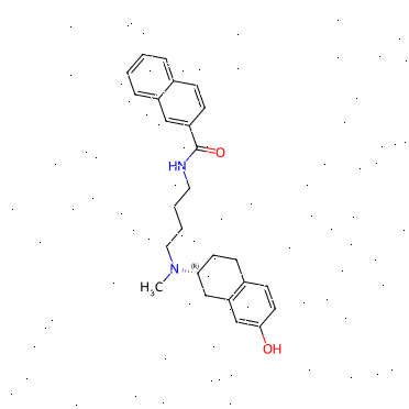 CN(CCCCNC(=O)c1ccc2ccccc2c1)[C@@H]1CCc2ccc(O)cc2C1